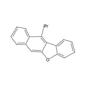 CC(C)c1c2ccccc2cc2oc3ccccc3c12